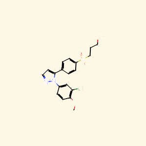 COc1ccc(-n2nccc2-c2ccc(S(=O)(=O)CCCO)cc2)cc1Cl